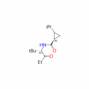 CCC(=O)[C@@H](NC(=O)[C@@H]1CC1C(C)C)C(C)(C)C